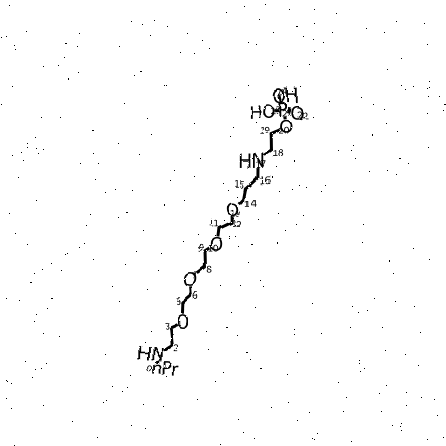 CCCNCCOCCOCCOCCOCCCNCCOP(=O)(O)O